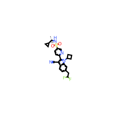 C[C@H](NS(=O)(=O)c1ccc(-c2c(C#N)c3ccc(CC(F)F)cc3n2C2CCC2)nc1)C1CC1